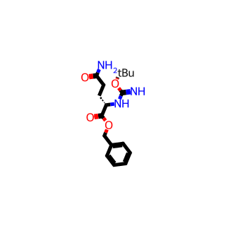 CC(C)(C)OC(=N)N[C@@H](CCC(N)=O)C(=O)OCc1ccccc1